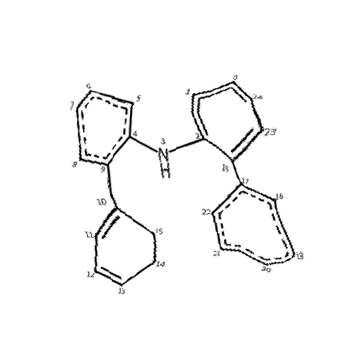 C1=C=C(Nc2ccccc2C2=CC=CCC2)C(c2ccccc2)=CC=1